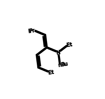 CC/C=C\C(=C/C(C)C)N(CC)CCCC